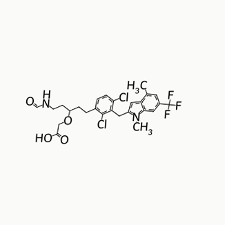 Cc1cc(C(F)(F)F)cc2c1cc(Cc1c(Cl)ccc(CCC(CCNC=O)OCC(=O)O)c1Cl)n2C